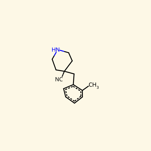 Cc1ccccc1CC1(C#N)CCNCC1